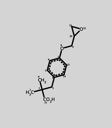 CC(C)(Cc1ccc(OCC2CO2)cc1)C(=O)O